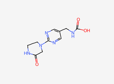 O=C(O)NCc1cnc(N2CCNC(=O)C2)nc1